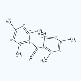 Cc1cc(C)c(C(=O)c2c(C)cc(O)cc2O)c(O)c1